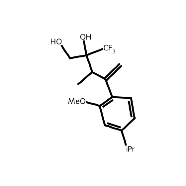 C=C(c1ccc(C(C)C)cc1OC)C(C)C(O)(CO)C(F)(F)F